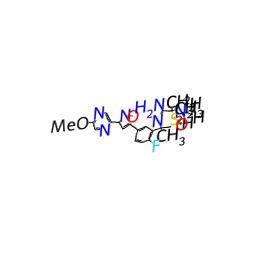 [2H]C([2H])([2H])N=[S@@]1(=O)C[C@@](C)(c2cc(-c3cc(-c4cnc(OC)cn4)no3)ccc2F)N=C(N)C1(C)C